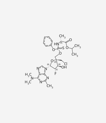 Cc1nc(N(C)C)c2ncn([C@@H]3O[C@](CCl)(COP(=S)(N[C@H](C)C(=O)OC(C)C)Oc4ccccc4)[C@@H](O)[C@@H]3F)c2n1